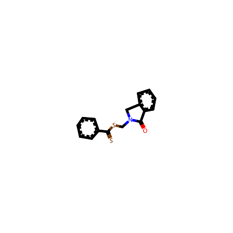 O=C1c2ccccc2CN1CSC(=S)c1ccccc1